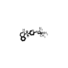 CC(C)(N)CNc1ccc(S(=O)(=O)C2NCCc3ccccc32)cn1